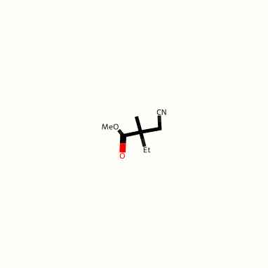 CCC(C)(CC#N)C(=O)OC